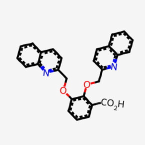 O=C(O)c1cccc(OCc2ccc3ccccc3n2)c1OCc1ccc2ccccc2n1